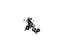 CN(CC1CCN(C(=O)C[C@@H]2CCc3cc(C(O)(C(F)(F)F)C(F)(F)F)ccc3N2S(=O)(=O)c2ccc(F)cc2)CC1)c1ccccc1